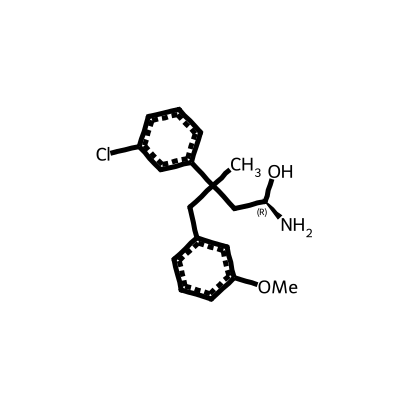 COc1cccc(CC(C)(C[C@H](N)O)c2cccc(Cl)c2)c1